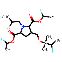 CCCC(F)OC(=O)C1CC(CO[Si](C)(C)C(F)CCC)C(C(=O)OC(F)CCC)N1CC(C=O)CC